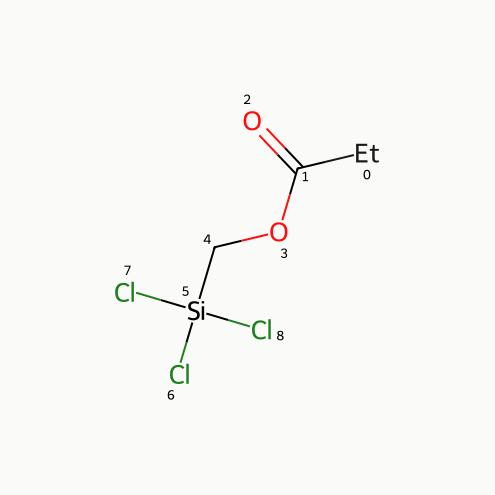 CCC(=O)OC[Si](Cl)(Cl)Cl